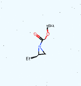 CC[C@@H]1CN1C(=O)OC(C)(C)C